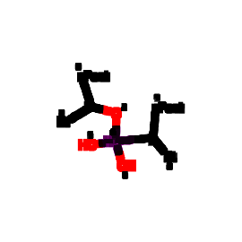 CCCCCC(CC)O[PH](O)(O)C(CC)CCCCC